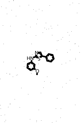 COc1cccc(Nc2ncc(-c3ccccc3)s2)c1